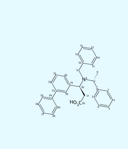 C[C@H](c1ccccc1)N(Cc1ccccc1)[C@@H](CC(=O)O)c1cccc(-c2ccccc2)c1